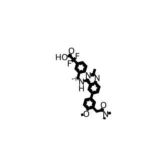 COc1ccc(-c2ccc3nc(C)nc(N[C@H](C)c4cccc(C(F)(F)C(=O)O)c4)c3c2)cc1CC(=O)N(C)C